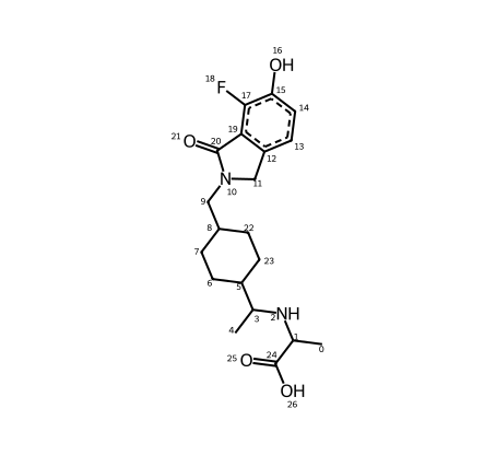 CC(NC(C)C1CCC(CN2Cc3ccc(O)c(F)c3C2=O)CC1)C(=O)O